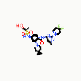 Cc1cc(NC(=O)c2ccc(NS(=O)(=O)[C@H](C)CO)cc2N2CCC3(CC2)CC3)nc(N2CCC(F)(F)CC2)n1